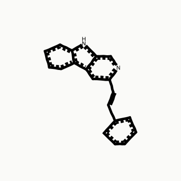 C(=Cc1cc2c(cn1)[nH]c1ccccc12)c1ccccc1